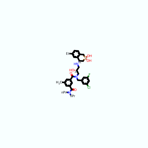 CCCN(CCC)C(=O)c1cc(C)cc(C(=O)N(Cc2cc(F)cc(Cl)c2)C[C@H](O)CN[C@H]2CS(O)(O)Cc3ccc(CC)cc32)c1